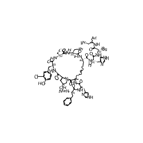 CCC(C)[C@H](NC(=O)[C@H](Cc1c[nH]cn1)NC(=O)[C@@H]1CSSC[C@H](NC(=O)[C@H](Cc2c[nH]cn2)NC(=O)[C@H](Cc2ccccc2)NC)C(=O)N2C[C@H](O)CC2C(=O)N[C@@H](Cc2ccc(O)c(Cl)c2)C(=O)N[C@@H](CC(=O)O)C(=O)N[C@@H](CC(C)C)C(=O)N1)C(=O)N[C@@H](CC(C)C)C(C)=O